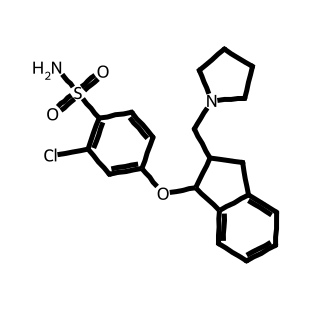 NS(=O)(=O)c1ccc(OC2c3ccccc3CC2CN2CCCC2)cc1Cl